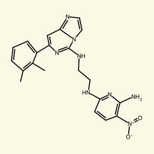 Cc1cccc(-c2cc3nccn3c(NCCNc3ccc([N+](=O)[O-])c(N)n3)n2)c1C